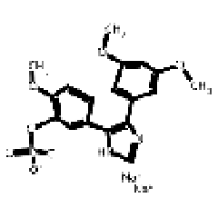 COc1cc(OC)cc(-c2nc[nH]c2-c2ccc(OC)c(OP(=O)([O-])[O-])c2)c1.[Na+].[Na+]